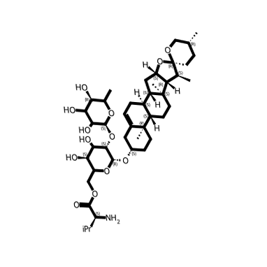 CC1O[C@@H](O[C@H]2C(O)[C@H](O)C(COC(=O)[C@@H](N)C(C)C)O[C@H]2O[C@H]2CC[C@@]3(C)C(=CC[C@H]4[C@@H]5C[C@@H]6O[C@]7(CC[C@@H](C)CO7)[C@@H](C)[C@@H]6[C@@]5(C)CC[C@@H]43)C2)C(O)C(O)[C@H]1O